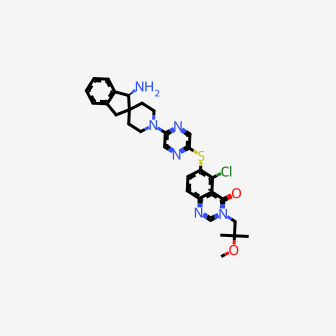 COC(C)(C)Cn1cnc2ccc(Sc3cnc(N4CCC5(CC4)Cc4ccccc4[C@H]5N)cn3)c(Cl)c2c1=O